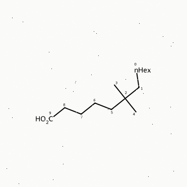 CCCCCCCC(C)(C)CCCCC(=O)O